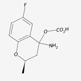 C[C@@H]1CC(N)(OC(=O)O)c2cc(F)ccc2O1